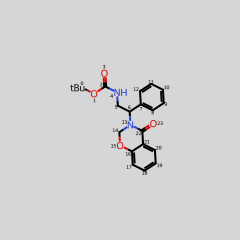 CC(C)(C)OC(=O)NCC(c1ccccc1)N1COc2ccccc2C1=O